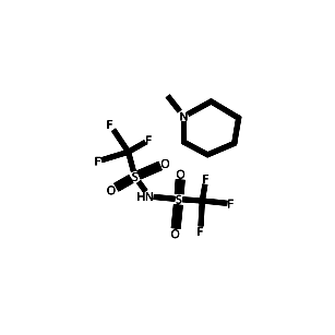 CN1CCCCC1.O=S(=O)(NS(=O)(=O)C(F)(F)F)C(F)(F)F